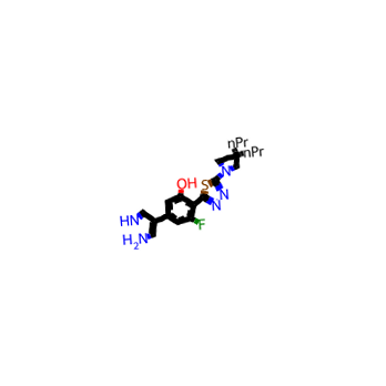 CCCC1(CCC)CN(c2nnc(-c3c(O)cc(/C(C=N)=C/N)cc3F)s2)C1